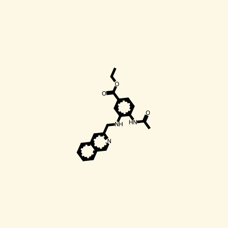 CCOC(=O)c1ccc(NC(C)=O)c(NCc2cc3ccccc3cn2)c1